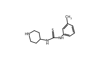 Cc1cccc(NC(=S)NC2CCNCC2)c1